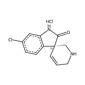 Cl.O=C1Nc2cc(Cl)ccc2[C@]12C=CCNC2